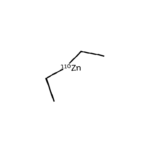 C[CH2][110Zn][CH2]C